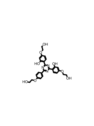 OCCOc1ccc(-c2nc(-c3ccc(OCCO)cc3O)nc(-c3ccc(OCCO)cc3O)n2)cc1